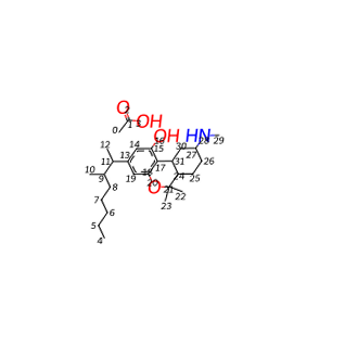 CC(=O)O.CCCCCC(C)C(C)c1cc(O)c2c(c1)OC(C)(C)C1CCC(NC)CC21